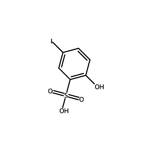 O=S(=O)(O)c1cc(I)ccc1O